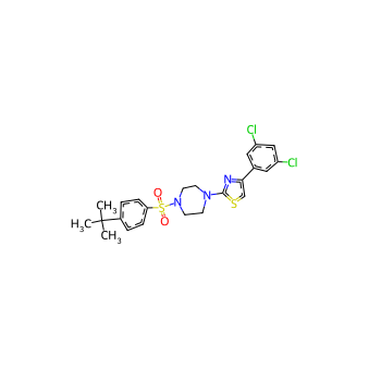 CC(C)(C)c1ccc(S(=O)(=O)N2CCN(c3nc(-c4cc(Cl)cc(Cl)c4)cs3)CC2)cc1